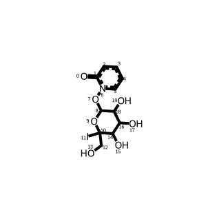 O=c1ccccn1OC1OC(I)(CO)C(O)C(O)C1O